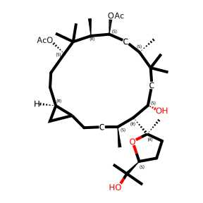 CC(=O)O[C@H]1C[C@H](C)C(C)(C)C[C@H](O)[C@H]([C@@]2(C)CC[C@@H](C(C)(C)O)O2)[C@@H](C)CCC2C[C@H]2CC[C@H](OC(C)=O)C(C)(C)[C@H]1C